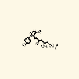 CC(C)c1nnn(-c2ccc(Cl)cc2)c1C=CC(O)CC(O)CC(=O)O